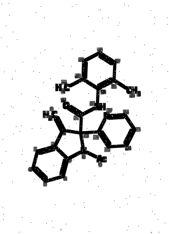 C=C1c2ccccc2N(C(C)=O)C1(C(=O)Nc1c(C)cccc1C)c1ccccn1